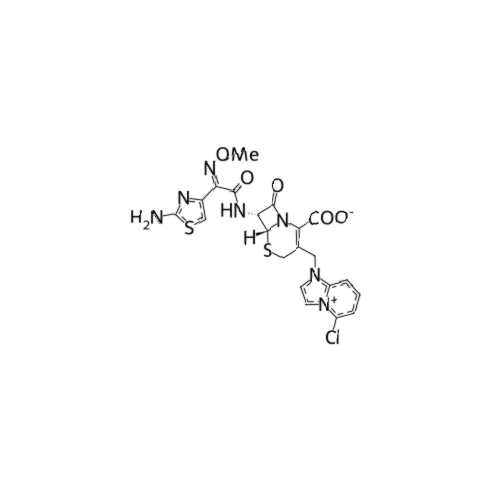 CO/N=C(\C(=O)N[C@@H]1C(=O)N2C(C(=O)[O-])=C(Cn3cc[n+]4c(Cl)cccc34)CS[C@H]12)c1csc(N)n1